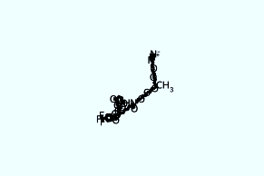 CC(CCOCCOCCN=[N+]=[N-])OCCOCCOCCNC(=O)CCCCC(CS(=O)(=O)c1ccc(C(F)(F)F)cc1)OC(=O)ON1C(=O)CCC1=O